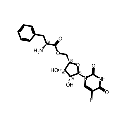 N[C@@H](Cc1ccccc1)C(=O)OC[C@H]1O[C@@H](n2cc(F)c(=O)[nH]c2=O)[C@H](O)[C@@H]1O